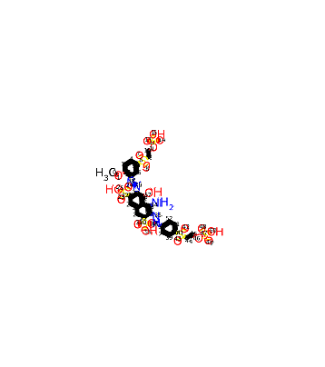 COc1ccc(S(=O)(=O)CCOS(=O)(=O)O)cc1/N=N/c1c(S(=O)(=O)O)cc2cc(S(=O)(=O)O)c(/N=N/c3ccc(S(=O)(=O)CCOS(=O)(=O)O)cc3)c(N)c2c1O